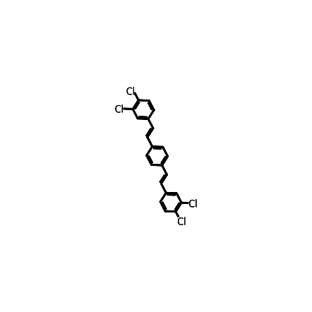 Clc1ccc(/C=C/c2ccc(/C=C/c3ccc(Cl)c(Cl)c3)cc2)cc1Cl